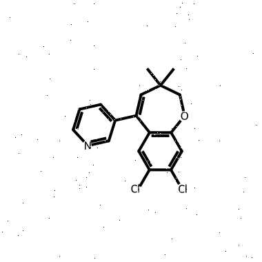 CC1(C)C=C(c2cccnc2)c2cc(Cl)c(Cl)cc2OC1